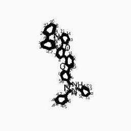 C1=c2oc3c(-c4cccc5c4oc4cccc(-n6c7ccccc7c7ccccc76)c45)cccc3c2=CC(C2N=C(c3ccccc3)N=C(c3ccccc3)N2)C1